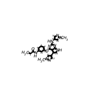 C=CC(=O)Nc1cccc(Oc2nc(Nc3cnn(C)c3)nc3[nH]cc(-c4cnn(C)c4)c23)c1